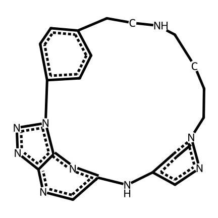 c1cc2ccc1CCNCCCCn1cc(cn1)Nc1cnc3nnn-2c3n1